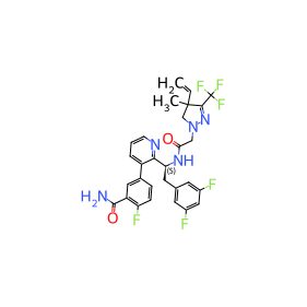 C=CC1(C)CN(CC(=O)N[C@@H](Cc2cc(F)cc(F)c2)c2ncccc2-c2ccc(F)c(C(N)=O)c2)N=C1C(F)(F)F